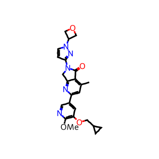 COc1ncc(-c2cc(C)c3c(n2)CN(c2ccn(C4COC4)n2)C3=O)cc1OCC1CC1